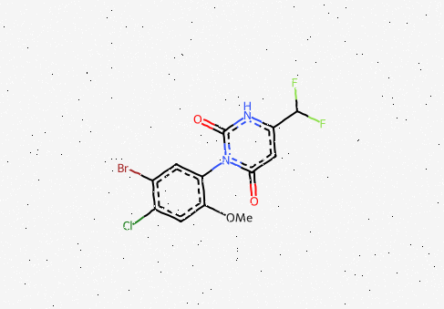 COc1cc(Cl)c(Br)cc1-n1c(=O)cc(C(F)F)[nH]c1=O